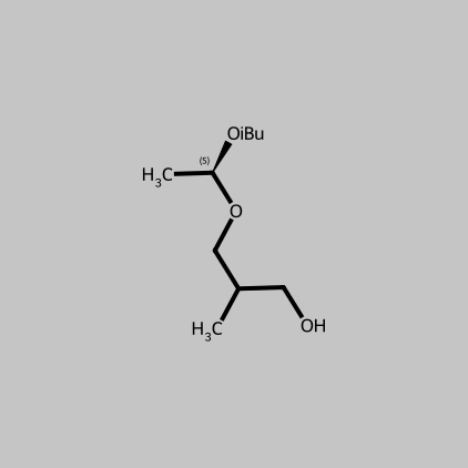 CC(C)CO[C@H](C)OCC(C)CO